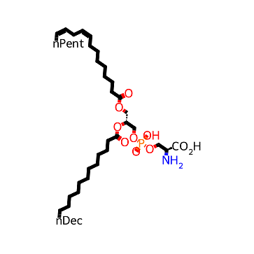 CCCCC/C=C\C/C=C\CCCCCCCC(=O)OC[C@H](COP(=O)(O)OC[C@H](N)C(=O)O)OC(=O)CCCCCCCCCCCCCCCCCCCCC